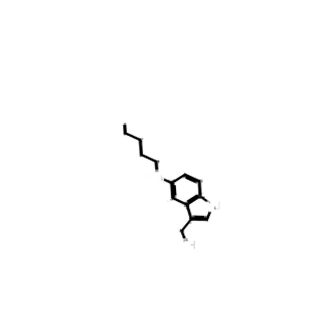 CCCCCOc1ccc2[nH]cc(CO)c2c1